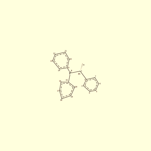 [CH2][C@H](c1ccccc1)P(c1ccccc1)c1ccccc1